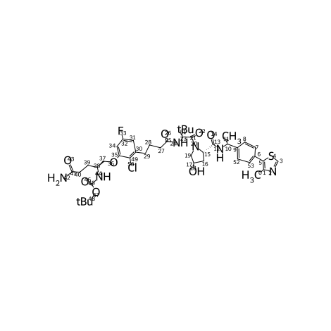 Cc1ncsc1-c1ccc([C@H](C)NC(=O)[C@@H]2C[C@@H](O)CN2C(=O)[C@@H](NC(=O)CCCc2cc(F)cc(OC[C@H](CCC(N)=O)NC(=O)OC(C)(C)C)c2Cl)C(C)(C)C)cc1